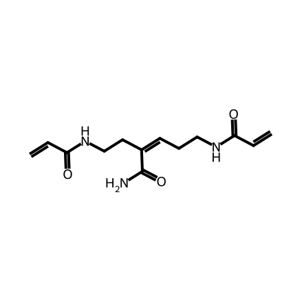 C=CC(=O)NCCC=C(CCNC(=O)C=C)C(N)=O